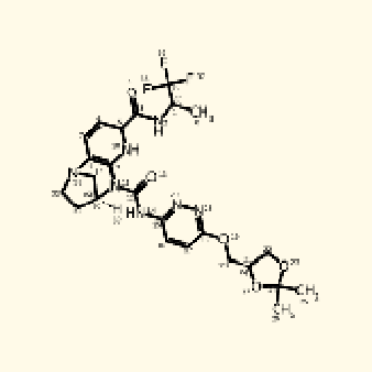 C[C@@H](NC(=O)C1C=CC2=C(N1)N(C(=O)Nc1ccc(OC[C@H]3COC(C)(C)O3)nn1)[C@H]1CCN2C1)C(F)(F)F